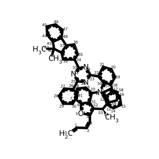 C=C/C=C\c1oc2cccc(-n3c4ccccc4c4cccc(-c5nc(-c6ccccc6)nc(-c6ccc7c(c6)C(C)(C)c6ccccc6-7)n5)c43)c2c1[C@H](C)C1=CC=CC1